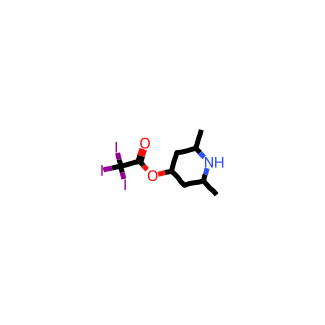 CC1CC(OC(=O)C(I)(I)I)CC(C)N1